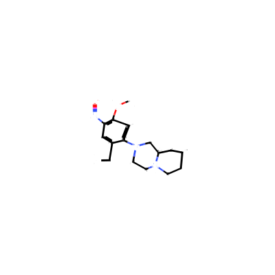 CCc1cc(N=O)c(OC)cc1N1CCN2CCCCC2C1